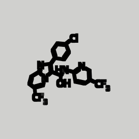 OC(Nc1ccc(C(F)(F)F)cn1)c1c(-c2ccc(Cl)cc2)nc2ccc(C(F)(F)F)cn12